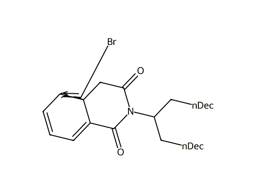 CCCCCCCCCCCC(CCCCCCCCCCC)N1C(=O)CC23CC(Br)=CC=C2C=CC=C3C1=O